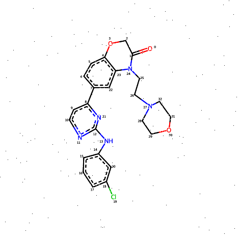 O=C1COc2ccc(-c3ccnc(Nc4cccc(Cl)c4)n3)cc2N1CCN1CCOCC1